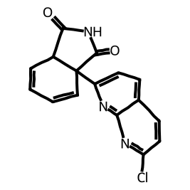 O=C1NC(=O)C2(c3ccc4ccc(Cl)nc4n3)C=CC=CC12